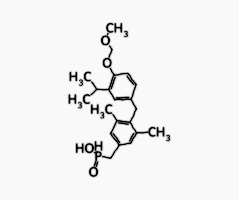 COCOc1ccc(Cc2c(C)cc(C[PH](=O)O)cc2C)cc1C(C)C